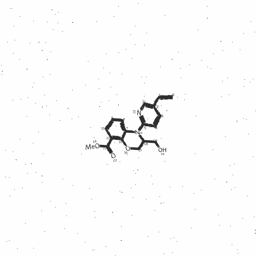 C=Cc1ccc(N2c3cccc(C(=O)OC)c3OCC2CO)nc1